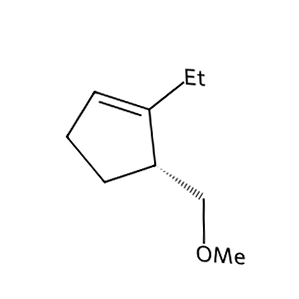 CCC1=CCC[C@H]1COC